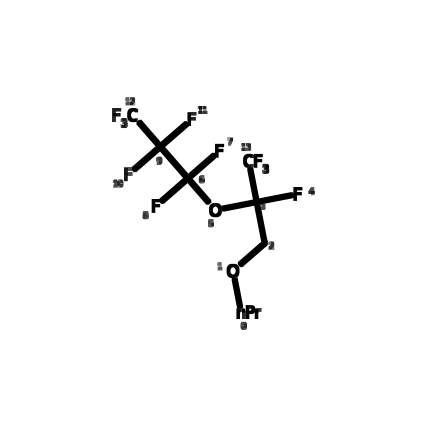 [CH2]CCOCC(F)(OC(F)(F)C(F)(F)C(F)(F)F)C(F)(F)F